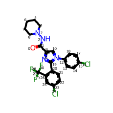 O=C(NN1CCCCC1)c1cn(-c2ccc(Cl)cc2)c(-c2ccc(Cl)cc2C(F)(F)F)n1